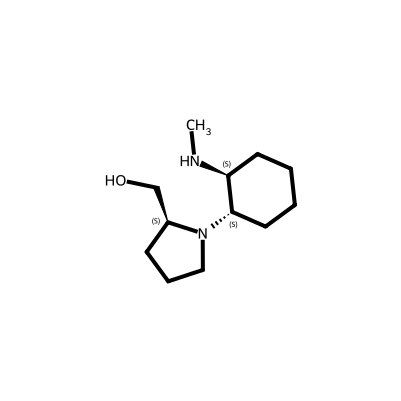 CN[C@H]1CCCC[C@@H]1N1CCC[C@H]1CO